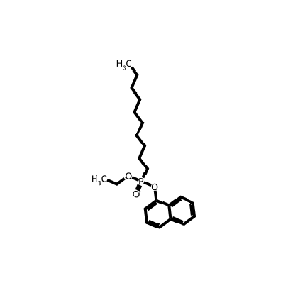 CCCCCCCCCCP(=O)(OCC)Oc1cccc2ccccc12